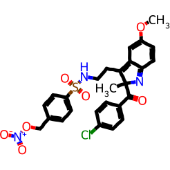 COc1ccc2c(c1)=C(CCNS(=O)(=O)c1ccc(CO[N+](=O)[O-])cc1)C(C)(C(=O)c1ccc(Cl)cc1)N=2